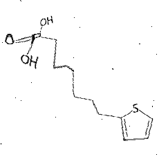 O=P(O)(O)CCCCCCc1cccs1